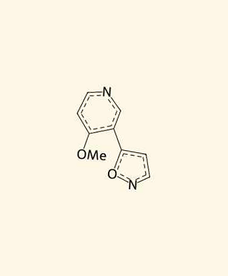 COc1ccncc1-c1ccno1